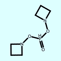 O=[PH](ON1CCC1)ON1CCC1